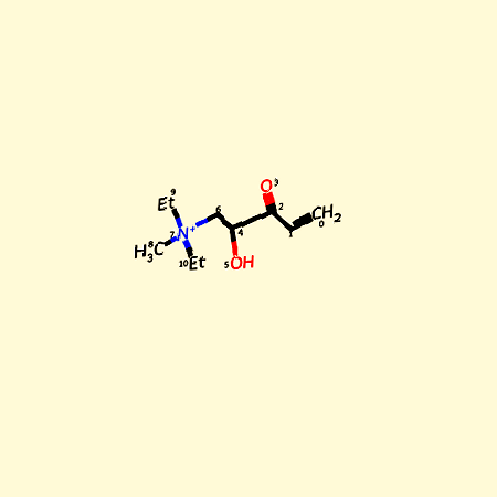 C=CC(=O)C(O)C[N+](C)(CC)CC